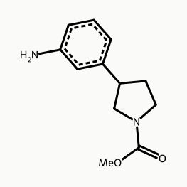 COC(=O)N1CCC(c2cccc(N)c2)C1